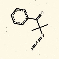 CC(C)(N=[N+]=[N-])C(=O)c1ccccc1